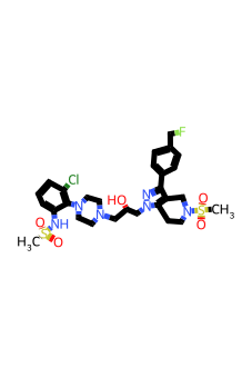 CS(=O)(=O)Nc1cccc(Cl)c1N1CCN(CC(O)Cn2nc(-c3ccc(CF)cc3)c3c2CCN(S(C)(=O)=O)C3)CC1